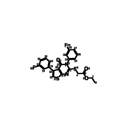 CCOC(=O)CSc1nc2scc(-c3cccc(F)c3)c2c(=O)n1-c1cccc(F)c1